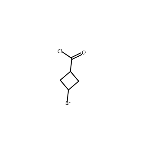 O=C(Cl)C1CC(Br)C1